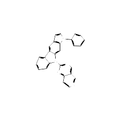 c1ccc(-n2ccc3cc4c5ccccc5n(-c5ncc6cnccc6n5)c4cc32)cc1